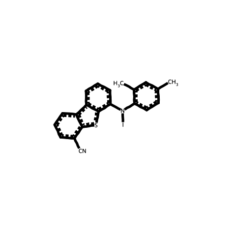 Cc1ccc(N(I)c2cccc3c2sc2c(C#N)cccc23)c(C)c1